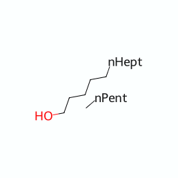 CCCCCC.CCCCCCCCCCCCO